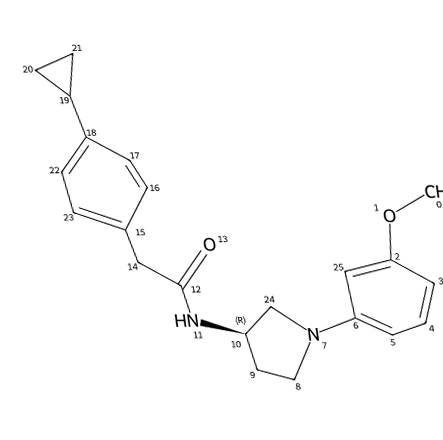 COc1cccc(N2CC[C@@H](NC(=O)Cc3ccc(C4CC4)cc3)C2)c1